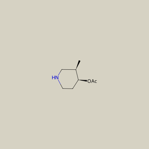 CC(=O)O[C@H]1CCNC[C@H]1C